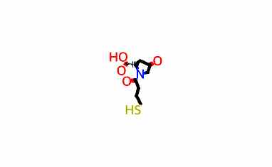 O=C1C[C@@H](C(=O)O)N(C(=O)CCCS)C1